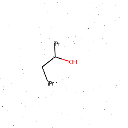 CC(C)C[C](O)C(C)C